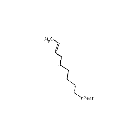 [CH2]CCCCCCCC[CH]CC=CC